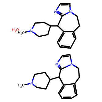 CN1CCC(C2c3ccccc3CCn3ccnc32)CC1.CN1CCC(C2c3ccccc3CCn3ccnc32)CC1.O